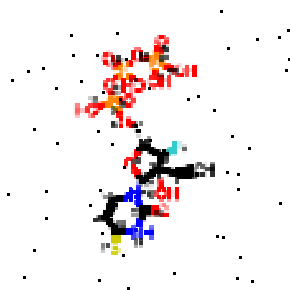 C#C[C@@]1(O)C(F)[C@@H](COP(=O)(O)OP(=O)(O)OP(=O)(O)O)O[C@H]1n1ccc(=S)[nH]c1=O